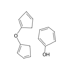 C1=CCC(OC2=CC=CC2)=C1.Oc1ccccc1